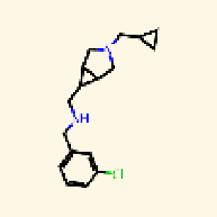 Clc1cccc(CNCC2C3CN(CC4CC4)CC23)c1